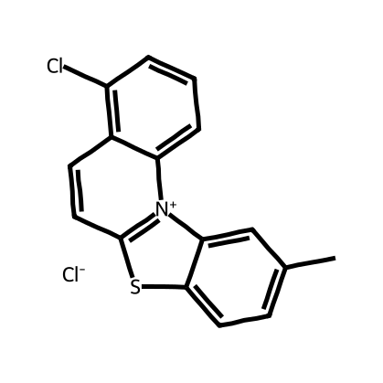 Cc1ccc2sc3ccc4c(Cl)cccc4[n+]3c2c1.[Cl-]